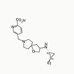 CC[C@@H]1C[C@H]1NC1COC2(CCN(Cc3ccc(C(=O)O)nc3)CC2)C1